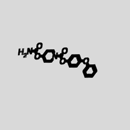 NC(=O)OC1CCN(C(=O)Oc2ccc(Oc3ccccc3)cc2)CC1